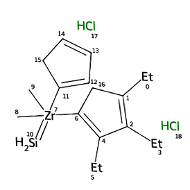 CCC1=C(CC)C(CC)=[C]([Zr]([CH3])([CH3])(=[SiH2])[C]2=CC=CC2)C1.Cl.Cl